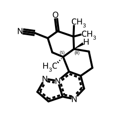 CC1(C)C(=O)C(C#N)C[C@]2(C)c3c(cnc4ccnn34)CC[C@@H]12